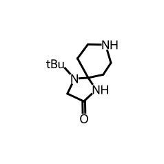 CC(C)(C)N1CC(=O)NC12CCNCC2